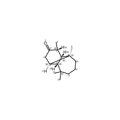 C[C@H]1C(=O)C[C@@H]2[C@@H]3[C@H]1[C@@]2(C)CCCC3(C)C